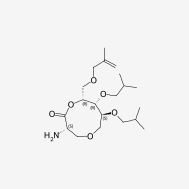 C=C(C)COC[C@H]1OC(=O)[C@@H](N)COC[C@H](OCC(C)C)[C@H]1OCC(C)C